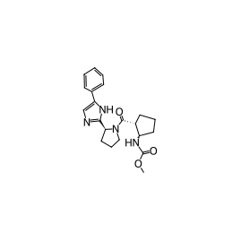 COC(=O)N[C@@H]1CCC[C@H]1C(=O)N1CCC[C@H]1c1ncc(-c2ccccc2)[nH]1